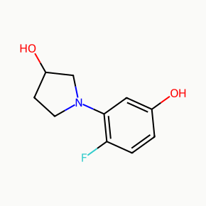 Oc1ccc(F)c(N2CCC(O)C2)c1